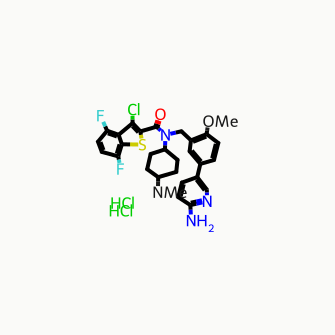 CNC1CCC(N(Cc2cc(-c3ccc(N)nc3)ccc2OC)C(=O)c2sc3c(F)ccc(F)c3c2Cl)CC1.Cl.Cl